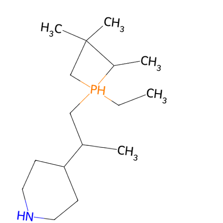 CC[PH]1(CC(C)C2CCNCC2)CC(C)(C)C1C